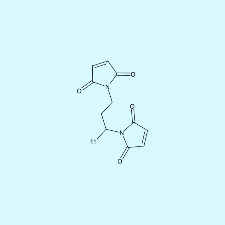 CCC(CCN1C(=O)C=CC1=O)N1C(=O)C=CC1=O